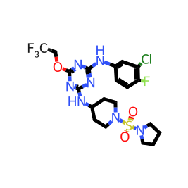 O=S(=O)(N1CCCC1)N1CCC(Nc2nc(Nc3ccc(F)c(Cl)c3)nc(OCC(F)(F)F)n2)CC1